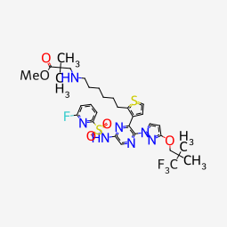 COC(=O)C(C)(C)CNCCCCCCc1sccc1-c1nc(NS(=O)(=O)c2cccc(F)n2)cnc1-n1ccc(OCC(C)(C)C(F)(F)F)n1